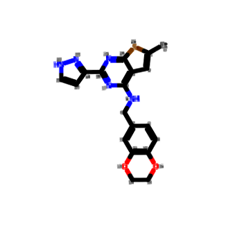 CCc1cc2c(NCc3ccc4c(c3)OCCO4)nc(-c3cc[nH]n3)nc2s1